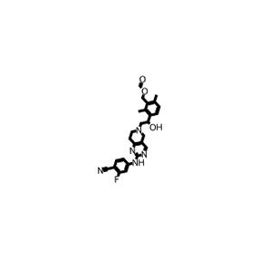 Cc1ccc(C(O)CN2CCc3nc(Nc4ccc(C#N)c(F)c4)ncc3C2)c(C)c1COC=O